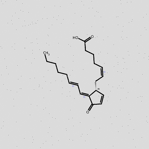 CCCCC/C=C/C=C1/C(=O)C=C[C@H]1C/C=C\CCCC(=O)O